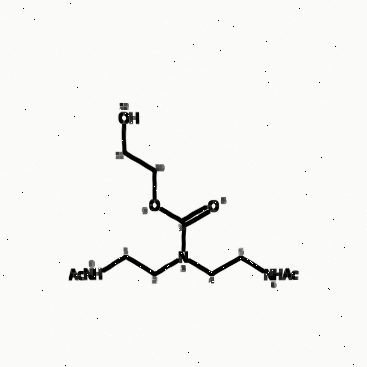 CC(=O)NCCN(CCNC(C)=O)C(=O)OCCO